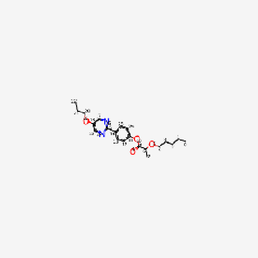 CCCCCOC(C)C(=O)Oc1ccc(-c2ncc(OCCC)cn2)cc1